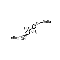 CCCCOCCCOc1ccc(C(C)(C)c2ccc(OCC(O)COCCCC)cc2)cc1